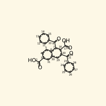 O=C(O)c1ccc2c(C(=O)c3ccccc3)c(C(=O)O)c(C(=O)c3ccccc3)cc2c1